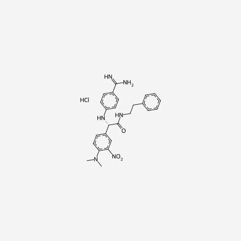 CN(C)c1ccc([C@H](Nc2ccc(C(=N)N)cc2)C(=O)NCCc2ccccc2)cc1[N+](=O)[O-].Cl